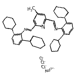 Cc1cc(C=Nc2c(C3CCCCC3)cccc2C2CCCCC2)nc(C=Nc2c(C3CCCCC3)cccc2C2CCCCC2)c1.[Cl-].[Cl-].[Cl-].[Nd+3]